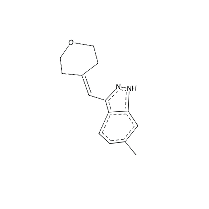 Cc1ccc2c(C=C3CCOCC3)n[nH]c2c1